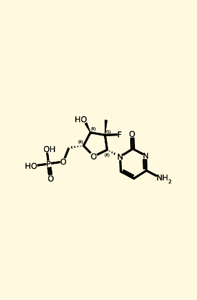 C[C@]1(F)[C@H](O)[C@@H](COP(=O)(O)O)O[C@H]1n1ccc(N)nc1=O